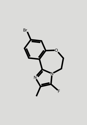 Cc1nc2n(c1F)CCOc1cc(Br)ccc1-2